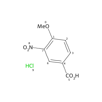 COc1ccc(C(=O)O)cc1[N+](=O)[O-].Cl